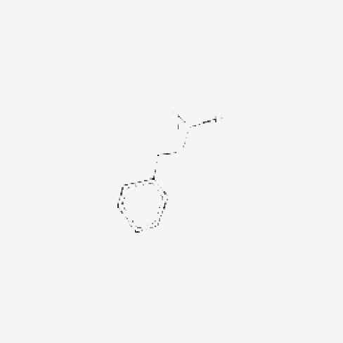 CC(C)[SiH](OCc1ccccc1)C(C)C